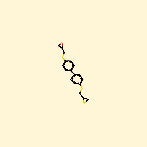 c1cc(-c2ccc(SCC3CS3)cc2)ccc1SCC1CO1